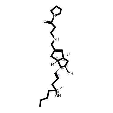 CCCC[C@](C)(O)C/C=C/[C@@H]1[C@H]2CC(CNCCC(=O)N3CCCC3)=C[C@H]2C[C@H]1O